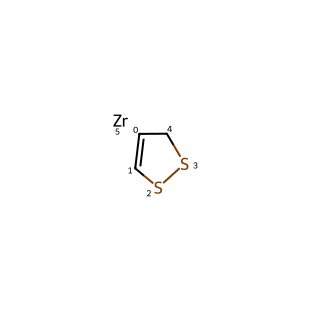 C1=CSSC1.[Zr]